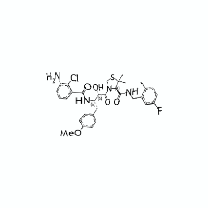 COc1ccc(C[C@H](NC(=O)c2cccc(N)c2Cl)[C@H](O)C(=O)N2CSC(C)(C)[C@H]2C(=O)NCc2cc(F)ccc2C)cc1